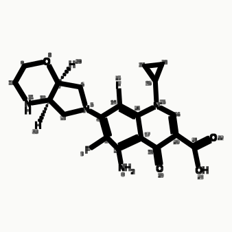 Nc1c(F)c(N2C[C@@H]3OCCN[C@@H]3C2)c(F)c2c1c(=O)c(C(=O)O)cn2C1CC1